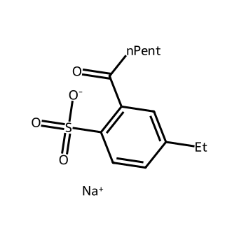 CCCCCC(=O)c1cc(CC)ccc1S(=O)(=O)[O-].[Na+]